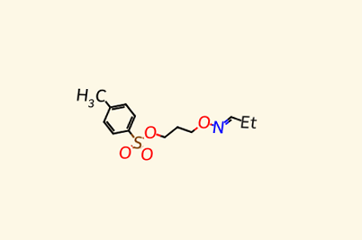 CCC=NOCCCOS(=O)(=O)c1ccc(C)cc1